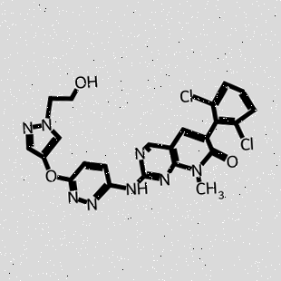 Cn1c(=O)c(-c2c(Cl)cccc2Cl)cc2cnc(Nc3ccc(Oc4cnn(CCO)c4)nn3)nc21